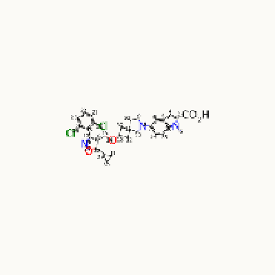 Cn1c(C(=O)O)cc2cc(N3CCC4(CC(OCc5c(-c6c(Cl)cccc6Cl)noc5C5CC5)C4)C3)ccc21